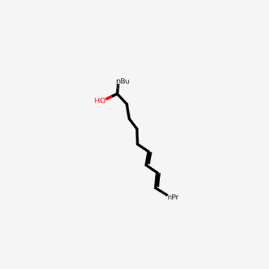 CCCC=C/C=C/CCCCC(O)CCCC